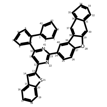 c1ccc(-c2ccccc2-c2cc(-c3cc4ccccc4s3)nc(-c3ccc4oc5cc6ccccc6cc5c4c3)n2)cc1